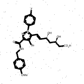 COc1ccc(CNC(=O)c2nn(-c3ccc(F)cc3)c(C=C[C@H](O)C[C@@H](O)CC(=O)O)c2C(C)C)cc1